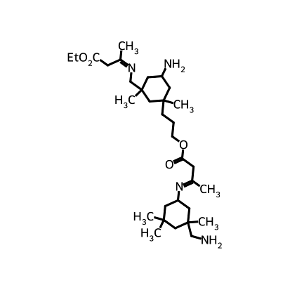 CCOC(=O)CC(C)=NCC1(C)CC(N)CC(C)(CCCOC(=O)CC(C)=NC2CC(C)(C)CC(C)(CN)C2)C1